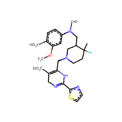 CCOC(=O)C1=C(CN2CCC(C)(F)C(CN(C=O)c3ccc(C(=O)O)c(OC(F)(F)F)c3)C2)NC(c2nccs2)=NC1